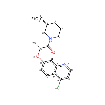 CCOC(=O)[C@H]1CCCN(C(=O)[C@@H](C)Oc2ccc3c(Cl)ccnc3c2)C1